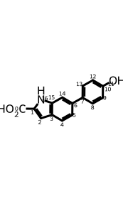 O=C(O)c1cc2ccc(-c3ccc(O)cc3)cc2[nH]1